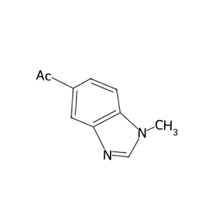 CC(=O)c1ccc2c(c1)ncn2C